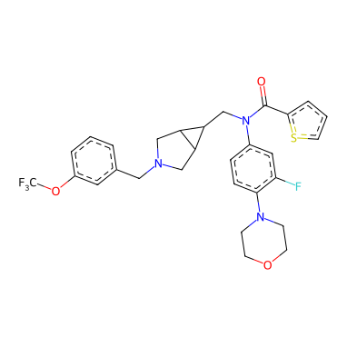 O=C(c1cccs1)N(CC1C2CN(Cc3cccc(OC(F)(F)F)c3)CC21)c1ccc(N2CCOCC2)c(F)c1